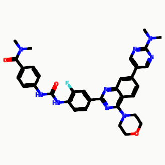 CN(C)C(=O)c1ccc(NC(=O)Nc2ccc(-c3nc(N4CCOCC4)c4ccc(-c5cnc(N(C)C)nc5)cc4n3)cc2F)cc1